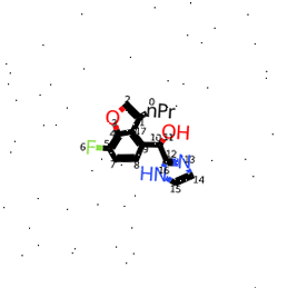 CCCc1coc2c(F)ccc(C(O)c3ncc[nH]3)c12